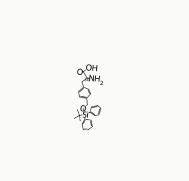 CC(C)(C)[Si](OCc1ccc(C[C@H](N)C(=O)O)cc1)(c1ccccc1)c1ccccc1